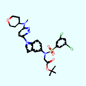 CN(c1ccc(-n2ccc3cc(N(CC(=O)OC(C)(C)C)S(=O)(=O)c4cc(Cl)cc(Cl)c4)ccc32)nn1)C1CCOCC1